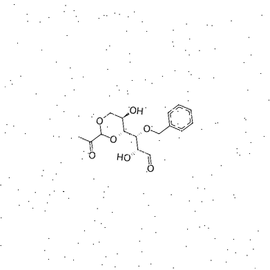 CC(=O)C1OC[C@@H](O)[C@H]([C@H](OCc2ccccc2)[C@@H](O)C=O)O1